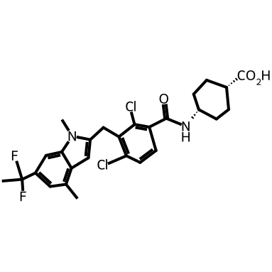 Cc1cc(C(C)(F)F)cc2c1cc(Cc1c(Cl)ccc(C(=O)N[C@H]3CC[C@@H](C(=O)O)CC3)c1Cl)n2C